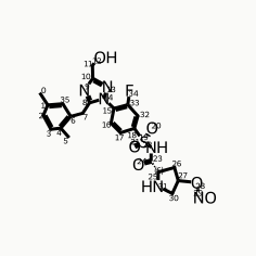 Cc1ccc(C)c(Cc2nc(CO)nn2-c2ccc(S(=O)(=O)NC(=O)[C@@H]3CC(ON=O)CN3)cc2F)c1